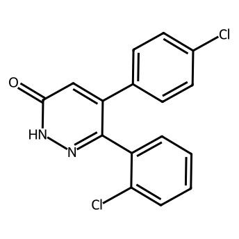 O=c1cc(-c2ccc(Cl)cc2)c(-c2ccccc2Cl)n[nH]1